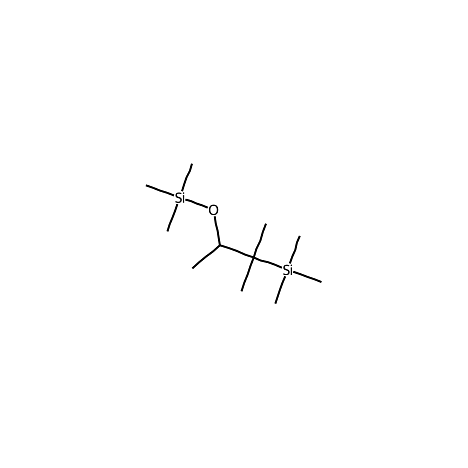 CC(O[Si](C)(C)C)C(C)(C)[Si](C)(C)C